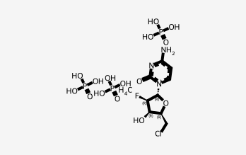 C.Nc1ccn([C@@H]2O[C@@H](CCl)[C@@H](O)[C@H]2F)c(=O)n1.O=P(O)(O)O.O=P(O)(O)O.O=P(O)(O)O